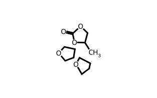 C1CCOC1.C1CCOC1.CC1COC(=O)O1